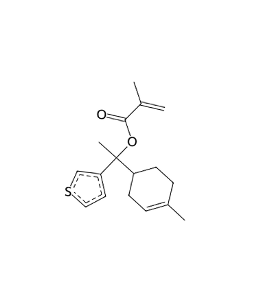 C=C(C)C(=O)OC(C)(c1ccsc1)C1CC=C(C)CC1